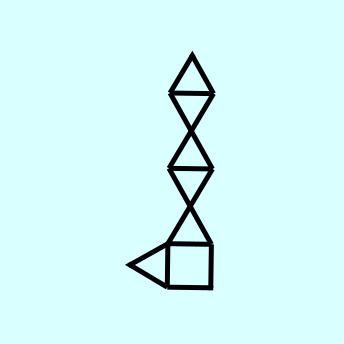 C1C2C1C21C2C1C21C2CC3CC321